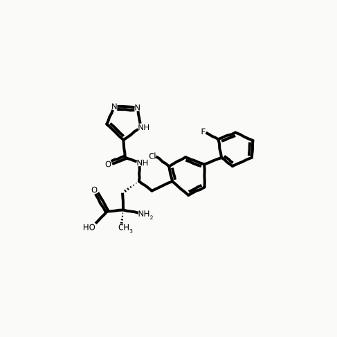 C[C@@](N)(C[C@@H](Cc1ccc(-c2ccccc2F)cc1Cl)NC(=O)c1cnn[nH]1)C(=O)O